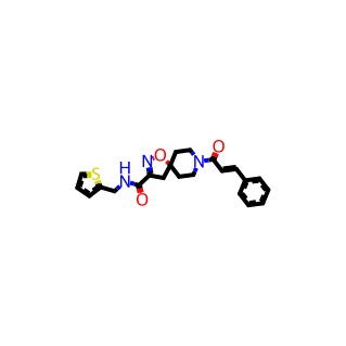 O=C(NCc1cccs1)C1=NOC2(CCN(C(=O)C=Cc3ccccc3)CC2)C1